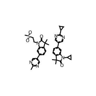 CC1(C)C(=O)N(C2CC2)c2cc(-c3cnc(C4CC4)nc3)ccc21.Cc1ncc(-c2ccc3c(c2)N(CCS(C)(=O)=O)C(=O)C3(C)C)cn1